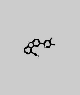 Cc1cnc(-c2ccc3oc4cccc(C#N)c4c3c2)cc1C